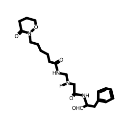 O=CC(Cc1ccccc1)NC(=O)CN(F)CNC(=O)CCCCCN1OCCCC1=O